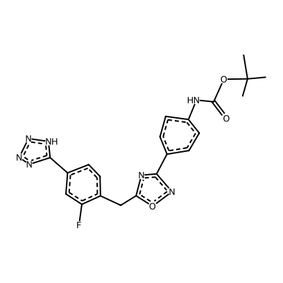 CC(C)(C)OC(=O)Nc1ccc(-c2noc(Cc3ccc(-c4nnn[nH]4)cc3F)n2)cc1